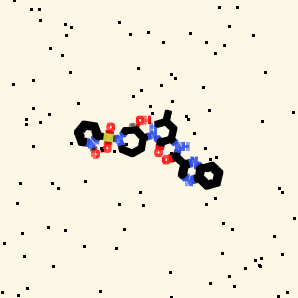 CC(C)CC(NC(=O)c1cnc2ccccc2n1)C(=O)NC1CCCN(S(=O)(=O)c2cccc[n+]2[O-])C[C@@H]1O